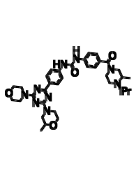 CC1CN(c2nc(-c3ccc(NC(=O)Nc4ccc(C(=O)N5CCN(C(C)C)C(C)C5)cc4)cc3)nc(N3CCOCC3)n2)CCO1